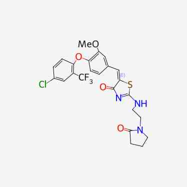 COc1cc(/C=C2/SC(NCCN3CCCC3=O)=NC2=O)ccc1Oc1ccc(Cl)cc1C(F)(F)F